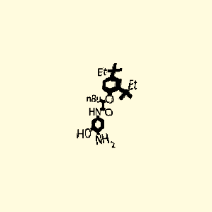 CCCCC(Oc1ccc(C(C)(C)CC)cc1C(C)(C)CC)C(=O)Nc1ccc(N)c(O)c1